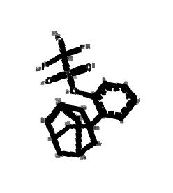 O=S(=O)(Oc1ccccc1C12CC3CC(CC(C3)C1)C2)C(F)(F)F